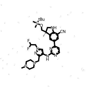 CN1CCN(Cc2nn(CC(F)F)cc2Nc2nccc(-c3cc(C#N)c4c(c3)[C@@](C)(CO[Si](C)(C)C(C)(C)C)CN4)n2)CC1